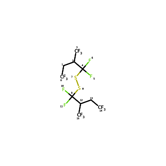 FC(F)(F)CC(C(F)(F)F)C(F)(F)SSC(F)(F)C(CC(F)(F)F)C(F)(F)F